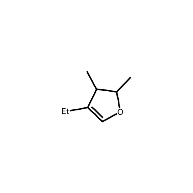 CCC1=COC(C)C1C